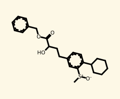 C[S+]([O-])c1cc(CCC(O)C(=O)OCc2ccccc2)ccc1C1CCCCC1